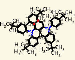 Cc1cc2c3c(c1)N(c1ccc(C(C)(C)C)cc1-c1ccc(C(C)(C)C)cc1)c1cc(C(C)(C)C)ccc1B3c1cc(C(C)(C)C)ccc1N2c1ccc(C(C)(C)C)cc1